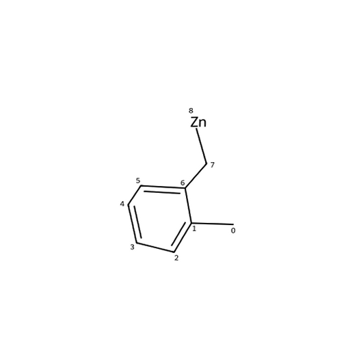 Cc1ccccc1[CH2][Zn]